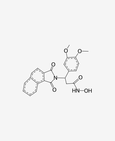 COc1ccc(C(CC(=O)NO)N2C(=O)c3ccc4ccccc4c3C2=O)cc1OC